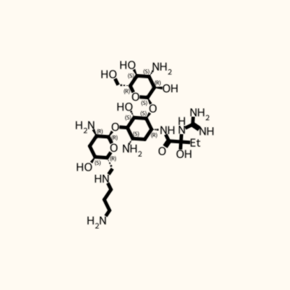 CCC(O)(NC(=N)N)C(=O)N[C@@H]1C[C@H](N)C(O[C@H]2O[C@H](CNCCCN)[C@@H](O)C[C@H]2N)[C@H](O)[C@H]1O[C@H]1O[C@H](CO)[C@@H](O)[C@H](N)[C@H]1O